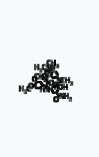 COc1ccc([C@H](Nc2cncc(C(N)=O)c2)C(=O)N2CCC[C@@H]2c2cc(N(C)C(=O)O)ccc2S(=O)(=O)C(C)C)cc1OC